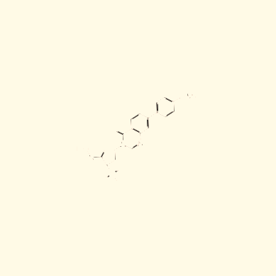 COc1ccc(-c2ccc3c(=O)n(CC[C@](C)(C(=O)NO)S(C)(=O)=O)cnc3c2)cc1